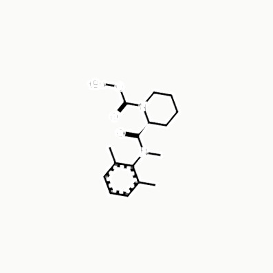 Cc1cccc(C)c1N(C)C(=O)[C@@H]1CCCCN1C(=O)OC(C)(C)C